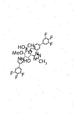 CO[C@H]1C(C(C)O)O[C@@H](c2nc(C)nn2-c2cc(-c3cc(F)c(F)c(F)c3)ccc2C(F)(F)F)C(O)C1n1cc(-c2cc(F)c(F)c(F)c2)cn1